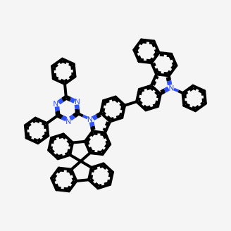 c1ccc(-c2nc(-c3ccccc3)nc(-n3c4ccc(-c5ccc6c(c5)c5c7ccccc7ccc5n6-c5ccccc5)cc4c4ccc5c(c43)-c3ccccc3C53c4ccccc4-c4ccccc43)n2)cc1